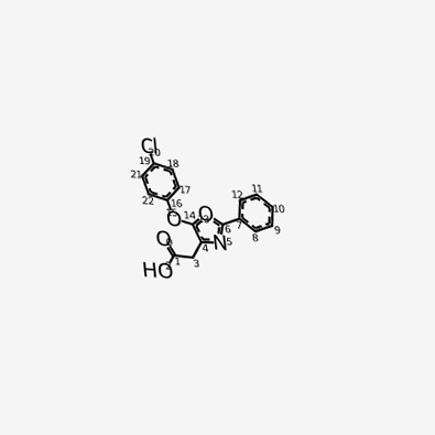 O=C(O)Cc1nc(-c2ccccc2)oc1Oc1ccc(Cl)cc1